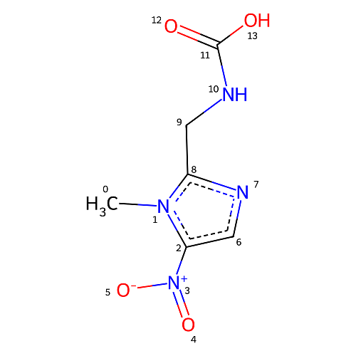 Cn1c([N+](=O)[O-])cnc1CNC(=O)O